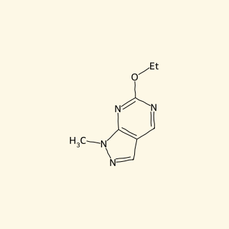 CCOc1ncc2cnn(C)c2n1